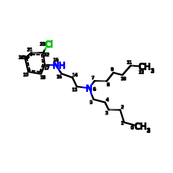 CCCCCCN(CCCCCC)CCCNc1cc[c]cc1Cl